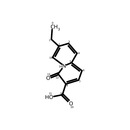 CCc1ccc2ccc(C(=O)O)c(=O)n2c1